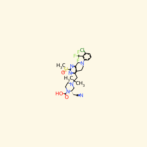 C[S+]([O-])c1nc2c(c(CC(C)(C)N3CCN(C(=O)O)[C@@H](CC#N)C3)n1)CCN(c1cccc(Cl)c1C(F)(F)F)C2